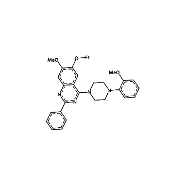 CCOc1cc2c(N3CCN(c4ccccc4OC)CC3)nc(-c3ccccc3)nc2cc1OC